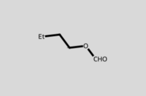 [CH2]CC[CH]OC=O